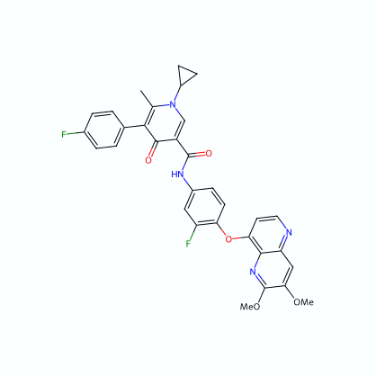 COc1cc2nccc(Oc3ccc(NC(=O)c4cn(C5CC5)c(C)c(-c5ccc(F)cc5)c4=O)cc3F)c2nc1OC